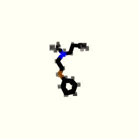 CCCN(C)CCSc1ccccc1